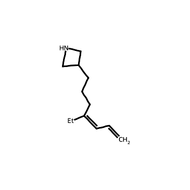 C=C/C=C(/CC)CCCC1CNC1